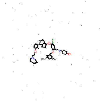 Cc1c(OCCCN2CCCCC2)cccc1C1C2=C(C=CC1C)[C@@H](Oc1cc(OCc3cc(C#N)cc(C#N)c3)c(CCNCC3CCC(=O)CC3)cc1Cl)CC2